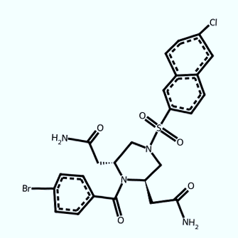 NC(=O)C[C@@H]1CN(S(=O)(=O)c2ccc3cc(Cl)ccc3c2)C[C@@H](CC(N)=O)N1C(=O)c1ccc(Br)cc1